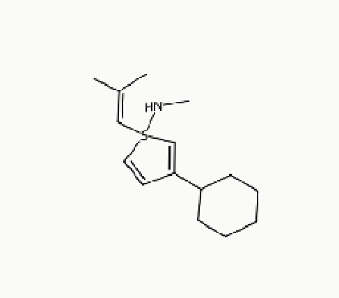 CNS1(C=C(C)C)C=CC(C2CCCCC2)=C1